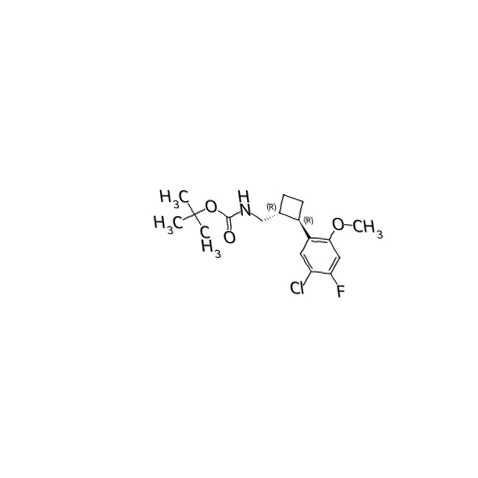 COc1cc(F)c(Cl)cc1[C@@H]1CC[C@H]1CNC(=O)OC(C)(C)C